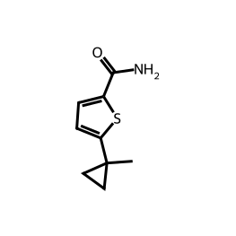 CC1(c2ccc(C(N)=O)s2)CC1